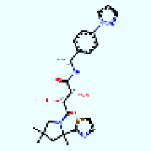 C[C@@H](NC(=O)[C@H](O)[C@@H](O)C(=O)N1CC(C)(C)CC1(C)c1nccs1)c1ccc(-n2cccn2)cc1